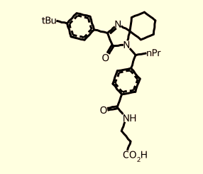 CCCC(c1ccc(C(=O)NCCC(=O)O)cc1)N1C(=O)C(c2ccc(C(C)(C)C)cc2)=NC12CCCCC2